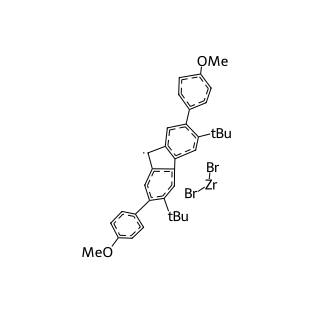 COc1ccc(-c2cc3c(cc2C(C)(C)C)-c2cc(C(C)(C)C)c(-c4ccc(OC)cc4)cc2[CH]3)cc1.[Br][Zr][Br]